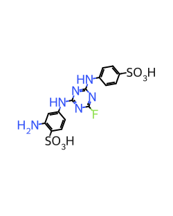 Nc1cc(Nc2nc(F)nc(Nc3ccc(S(=O)(=O)O)cc3)n2)ccc1S(=O)(=O)O